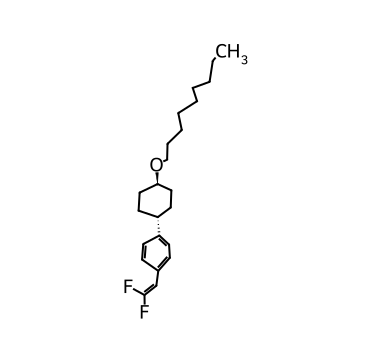 CCCCCCCCCO[C@H]1CC[C@H](c2ccc(C=C(F)F)cc2)CC1